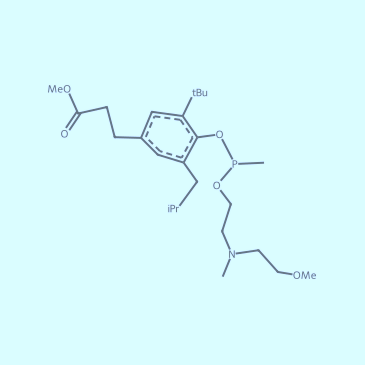 COCCN(C)CCOP(C)Oc1c(CC(C)C)cc(CCC(=O)OC)cc1C(C)(C)C